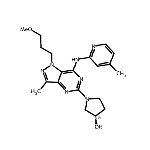 COCCCn1nc(C)c2nc(N3CC[C@@H](O)C3)nc(Nc3cc(C)ccn3)c21